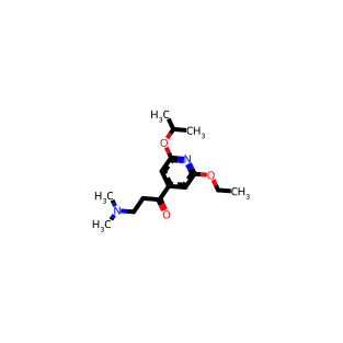 CCOc1cc(C(=O)CCN(C)C)cc(OC(C)C)n1